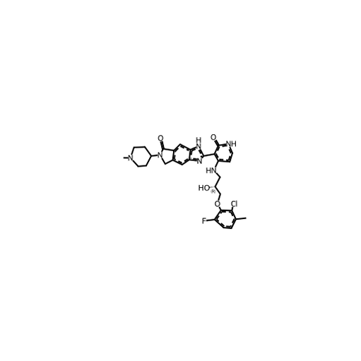 Cc1ccc(F)c(OC[C@H](O)CNc2cc[nH]c(=O)c2-c2nc3cc4c(cc3[nH]2)C(=O)N(C2CCN(C)CC2)C4)c1Cl